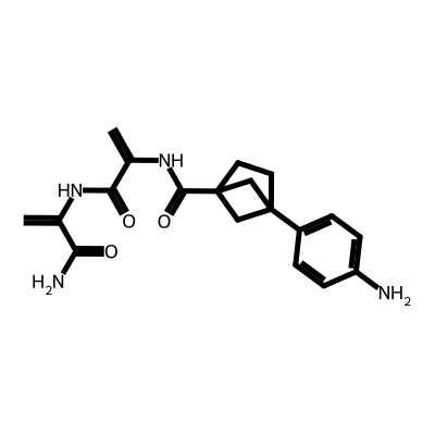 C=C(NC(=O)C(=C)NC(=O)C12CCC(c3ccc(N)cc3)(C1)C2)C(N)=O